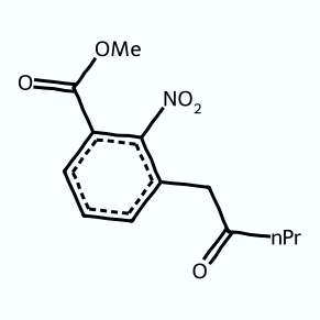 CCCC(=O)Cc1cccc(C(=O)OC)c1[N+](=O)[O-]